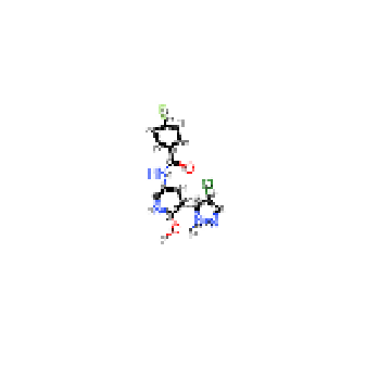 COc1ncc(NC(=O)c2ccc(F)cc2)cc1-c1c(Cl)cnn1C